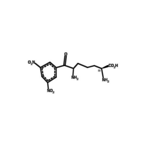 NC(CCC[C@H](N)C(=O)O)C(=O)c1cc([N+](=O)[O-])cc([N+](=O)[O-])c1